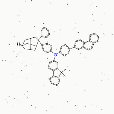 CC1(C)c2ccccc2-c2ccc(N(c3ccc(-c4ccc5c(ccc6ccccc65)c4)cc3)c3ccc4c(c3)-c3ccccc3C43C4C[C@H]5CC6CC3C6(C4)C5)cc21